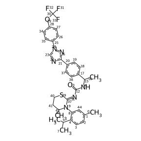 Cc1ccc(C(C)C)c(N2/C(=N/C(=O)NC(C)c3ccc(-c4ncn(-c5ccc(OC(F)(F)F)cc5)n4)cc3)SCCC2C)c1